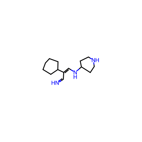 N=C/C(=C\NC1CCNCC1)C1CCCCC1